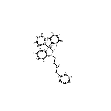 c1ccc(COCCCSC(c2ccccc2)(c2ccccc2)c2ccccc2)cc1